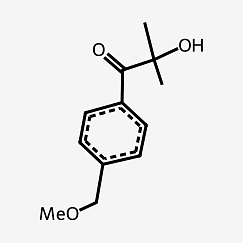 COCc1ccc(C(=O)C(C)(C)O)cc1